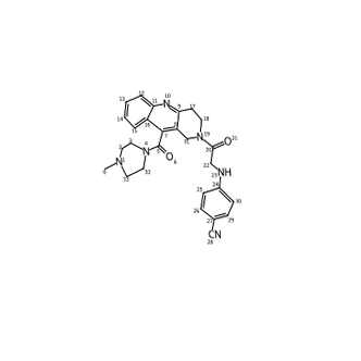 CN1CCN(C(=O)c2c3c(nc4ccccc24)CCN(C(=O)CNc2ccc(C#N)cc2)C3)CC1